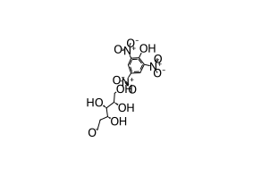 O=CC[C@H](O)[C@@H](O)[C@H](O)CO.O=[N+]([O-])c1cc([N+](=O)[O-])c(O)c([N+](=O)[O-])c1